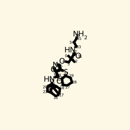 CC(C)(COc1noc(C(=O)NC2C3CC4CC(C3)CC2C4)c1SC1CCCCC1)C(=O)NCCCN